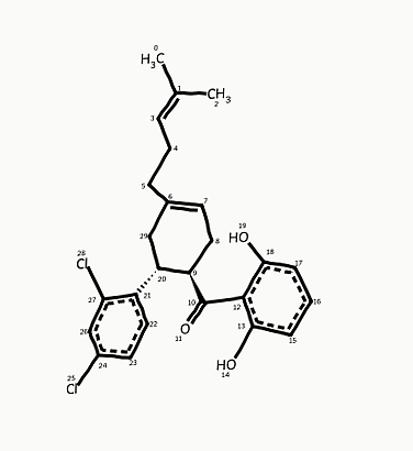 CC(C)=CCCC1=CC[C@@H](C(=O)c2c(O)cccc2O)[C@H](c2ccc(Cl)cc2Cl)C1